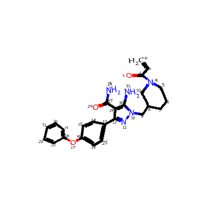 C=CC(=O)N1CCCC(Cn2nc(-c3ccc(Oc4ccccc4)cc3)c(C(N)=O)c2N)C1